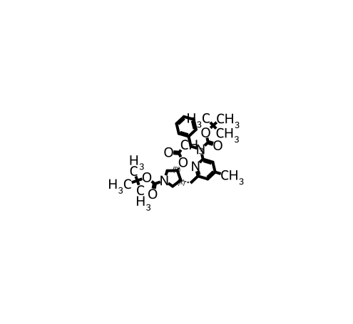 CC(=O)O[C@H]1CN(C(=O)OC(C)(C)C)C[C@H]1Cc1cc(C)cc(N(Cc2ccccc2)C(=O)OC(C)(C)C)n1